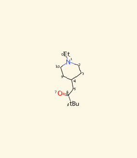 CCN1CCC(CC(=O)C(C)(C)C)CC1